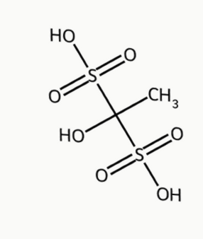 CC(O)(S(=O)(=O)O)S(=O)(=O)O